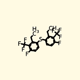 CCc1c(Sc2ccc(F)c(C(F)(F)F)c2CC)ccc(F)c1C(F)(F)F